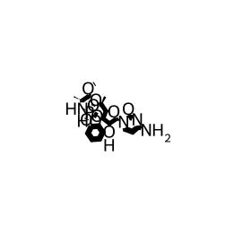 COC(=O)[C@@H](C)N[P@](=O)(Oc1ccccc1)O[C@@H](C)[C@H]1O[C@@H](n2ccc(N)nc2=O)[C@@H](O)[C@@H]1O